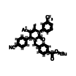 CC(=O)C1=C(C)N(c2cccc(C(F)(F)F)c2)C(=O)N(Cc2ccc(C(=O)OC(C)(C)C)cc2)C1c1ccc(C#N)cc1